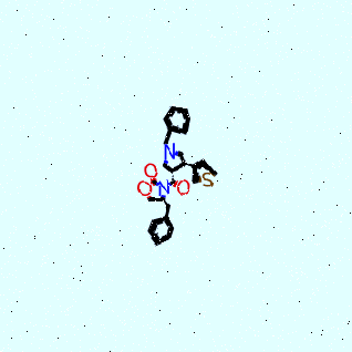 O=C1OC[C@H](Cc2ccccc2)N1C(=O)[C@@H]1CN(Cc2ccccc2)C[C@H]1c1ccsc1